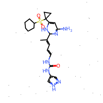 C/C(=C\C=C\NC(=O)Nc1cn[nH]c1)C1N=C(N)C=C(C2(S(=O)(=O)C3CCCCC3)CC2)N1